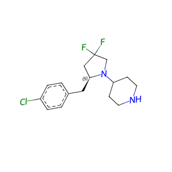 FC1(F)C[C@H](Cc2ccc(Cl)cc2)N(C2CCNCC2)C1